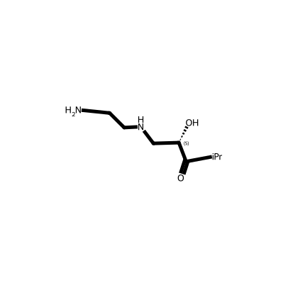 CC(C)C(=O)[C@@H](O)CNCCN